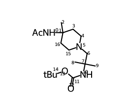 CC(=O)NC1(C)CCN(CC(C)(C)NC(=O)OC(C)(C)C)CC1